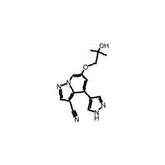 CC(C)(O)COc1cc(-c2cn[nH]c2)c2c(C#N)cnn2c1